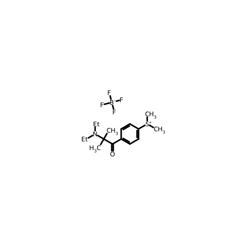 CCN(CC)C(C)(C)C(=O)c1ccc([S+](C)C)cc1.F[B-](F)(F)F